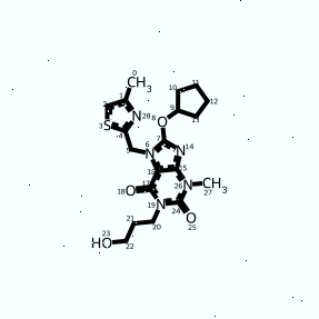 Cc1csc(Cn2c(OC3CCCC3)nc3c2c(=O)n(CCCO)c(=O)n3C)n1